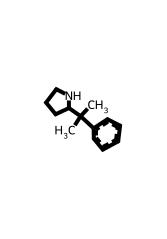 CC(C)(c1ccccc1)C1CCCN1